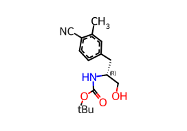 Cc1cc(C[C@H](CO)NC(=O)OC(C)(C)C)ccc1C#N